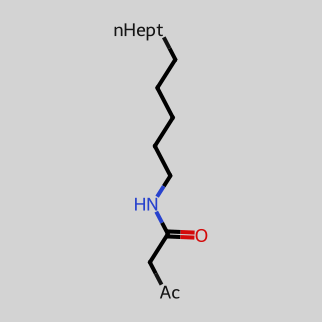 CCCCCCCCCCCCNC(=O)CC(C)=O